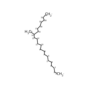 [CH2]CCCCCCCCCCCCCC(C)CCCCCC[CH2]